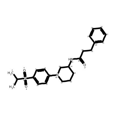 CC(C)S(=O)(=O)c1ccc(N2CCCC(NC(=O)CCc3ccccc3)C2)cc1